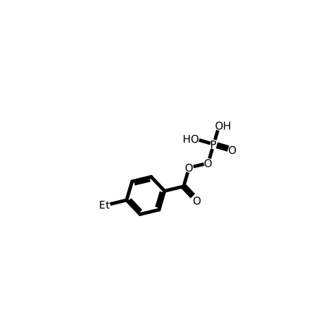 CCc1ccc(C(=O)OOP(=O)(O)O)cc1